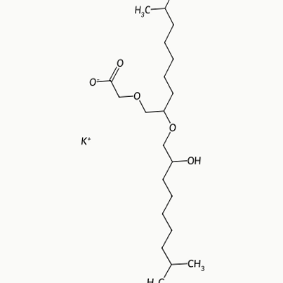 CC(C)CCCCCC(O)COC(CCCCCC(C)C)COCC(=O)[O-].[K+]